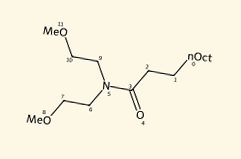 CCCCCCCCCCC(=O)N(CCOC)CCOC